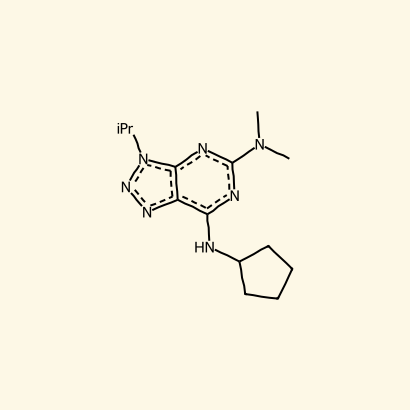 CC(C)n1nnc2c(NC3CCCC3)nc(N(C)C)nc21